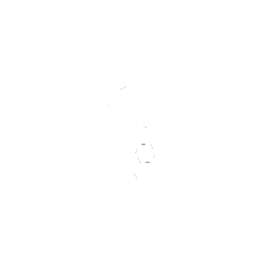 COP(=O)(CCC(N)C(=O)O)Oc1cccc(C(=O)O)c1